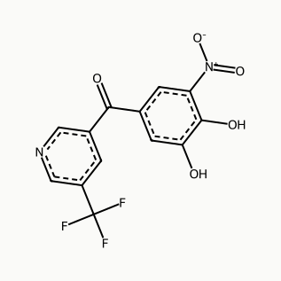 O=C(c1cncc(C(F)(F)F)c1)c1cc(O)c(O)c([N+](=O)[O-])c1